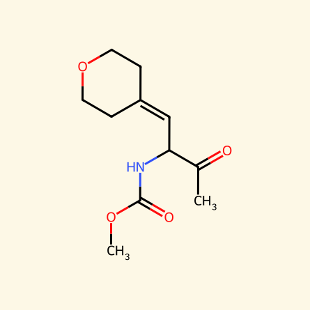 COC(=O)NC(C=C1CCOCC1)C(C)=O